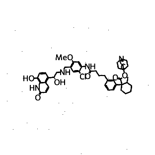 COc1cc(NC(=O)CCCc2cccc(C3(C(=O)OC45CCN(CC4)CC5)CCCCC3C)c2)c(Cl)cc1CNC[C@H](O)c1ccc(O)c2[nH]c(=O)ccc12